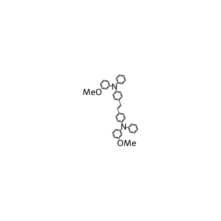 COc1cccc(N(c2ccccc2)c2ccc(C=Cc3ccc(N(c4ccccc4)c4cccc(OC)c4)cc3)cc2)c1